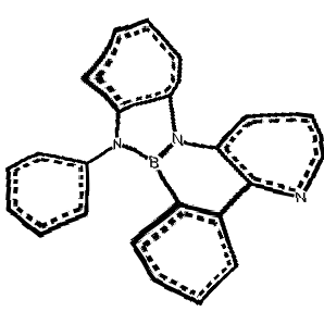 c1ccc(N2B3c4ccccc4-c4ncccc4N3c3ccccc32)cc1